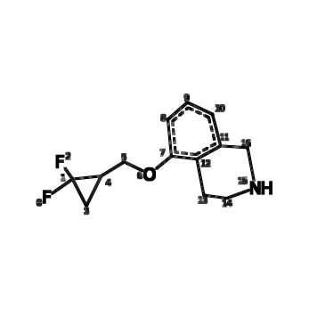 FC1(F)CC1COc1cccc2c1CCNC2